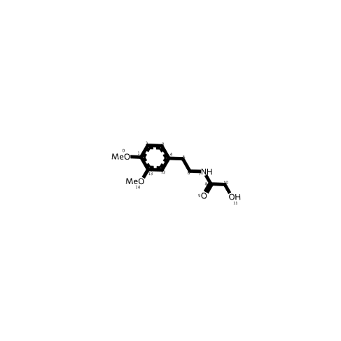 COc1ccc(CCNC(=O)CO)cc1OC